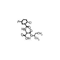 CCC(C)OC(=O)C(NC(=O)c1cc(F)ccc1Cl)C(=O)O